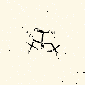 CC(C(F)(F)F)P(=O)(CC(F)(F)F)C(=O)O